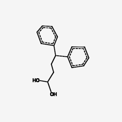 OC(O)CCC(c1ccccc1)c1ccccc1